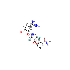 CN(C)C(=O)c1cccc(Oc2c(F)cnc(Oc3cc(C(=N)N)ccc3O)c2F)c1